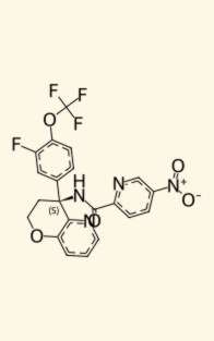 O=C(N[C@]1(c2ccc(OC(F)(F)F)c(F)c2)CCOc2cccnc21)c1ccc([N+](=O)[O-])cn1